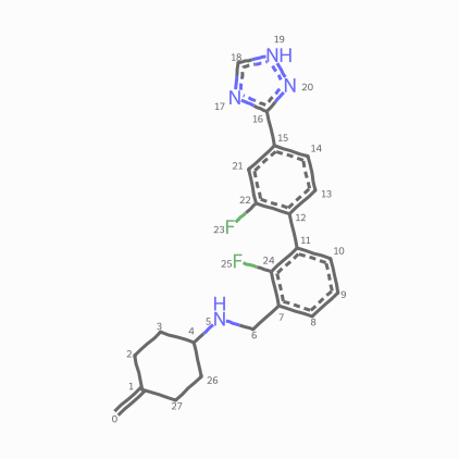 C=C1CCC(NCc2cccc(-c3ccc(-c4nc[nH]n4)cc3F)c2F)CC1